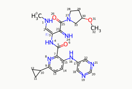 CN/C=C(/NC(=O)c1nc(C2CC2)ccc1Nc1cncnc1)C(=N)C(=O)N1CCC(OC)C1